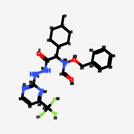 CC1CCC(C(C(=O)NNc2nccc(C(F)(F)F)n2)N(C=O)OCc2ccccc2)CC1